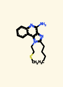 CCCCc1nc2c(N)nc3ccccc3c2n1CCSC